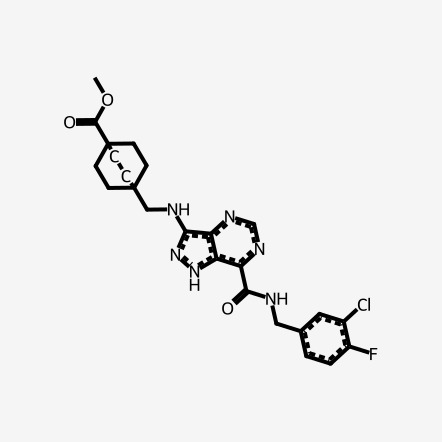 COC(=O)C12CCC(CNc3n[nH]c4c(C(=O)NCc5ccc(F)c(Cl)c5)ncnc34)(CC1)CC2